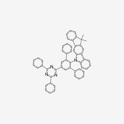 CC1(C)c2ccccc2-c2cc3c(cc21)c1ccccc1n3-c1c(-c2ccccc2)cc(-c2nc(-c3ccccc3)nc(-c3ccccc3)n2)cc1-c1ccccc1